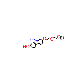 CCOCCOCCOc1ccc2c(c1)[nH]c1cc(O)ccc12